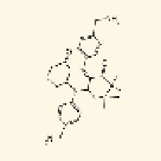 CC1(C)CC2C(=C(c3ccc(CN)cc3)C3C(=O)CCCC3N2c2ccc(CN)cc2)C(=O)C1(C)C